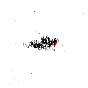 CCCc1cc(C(O)(C(F)(F)F)C(F)(F)F)cc(CCC)c1Oc1ccc(I)c(CN2C(=O)NC(C)(c3ccc(OC(C)C)cc3)C2=O)c1